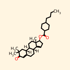 CCCCC1CCC(C(=O)O[C@H]2CC=C3[C@@H]4CCC5=CC(=O)C(C)(C)C[C@@H]5[C@H]4CC[C@@]32C)CC1